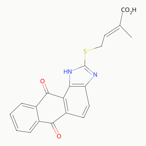 CC(=CCSc1nc2ccc3c(c2[nH]1)C(=O)c1ccccc1C3=O)C(=O)O